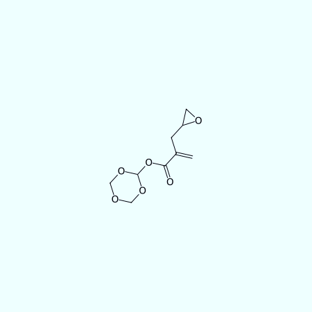 C=C(CC1CO1)C(=O)OC1OCOCO1